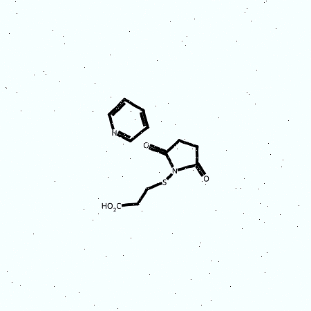 O=C(O)CCSN1C(=O)CCC1=O.c1ccncc1